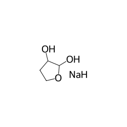 OC1CCOC1O.[NaH]